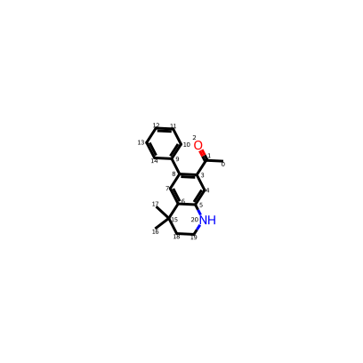 CC(=O)c1cc2c(cc1-c1ccccc1)C(C)(C)CCN2